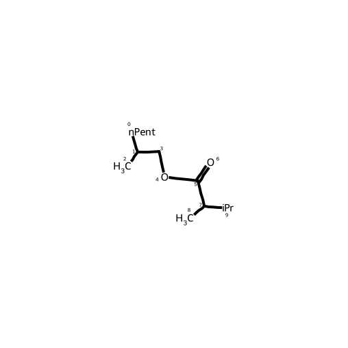 CCCCCC(C)COC(=O)C(C)C(C)C